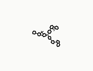 CC1(C)c2cc(-c3ccccc3)ccc2-c2ccc(N(c3ccc(-c4cccc(-c5cccc6ccccc56)c4)cc3)c3ccc(-c4cccc5c4sc4ccccc45)cc3)cc21